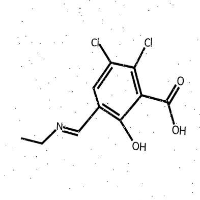 CCN=Cc1cc(Cl)c(Cl)c(C(=O)O)c1O